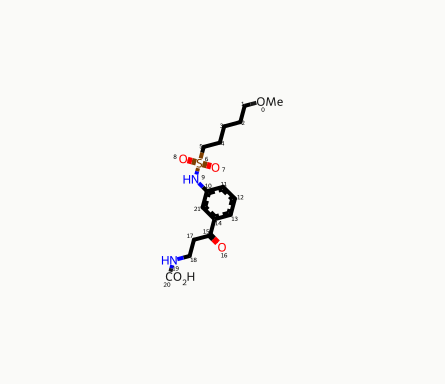 COCCCCCS(=O)(=O)Nc1cccc(C(=O)CCNC(=O)O)c1